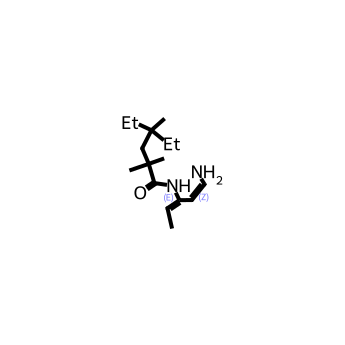 C/C=C(\C=C/N)NC(=O)C(C)(C)CC(C)(CC)CC